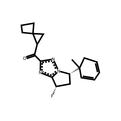 CC1([C@@H]2C[C@H](F)c3nc(C(=O)C4CC45CCC5)nn32)C=CC=CC1